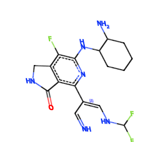 N=C/C(=C\NC(F)F)c1nc(NC2CCCCC2N)c(F)c2c1C(=O)NC2